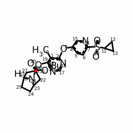 Cc1c(Oc2ccc(S(=O)(=O)C3CC3)nc2)ncnc1O[C@H]1CC2CC[C@@H](C1)N2C(=O)OC(C)(C)C